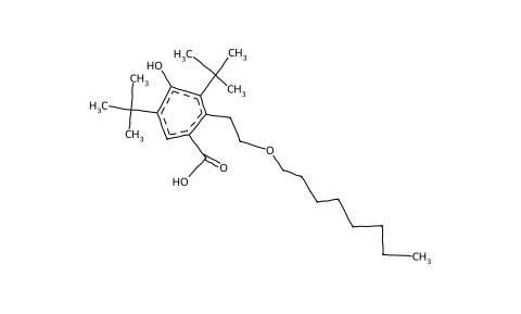 CCCCCCCCOCCc1c(C(=O)O)cc(C(C)(C)C)c(O)c1C(C)(C)C